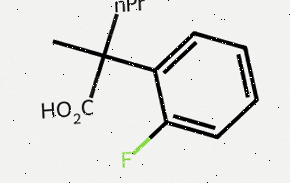 CCCC(C)(C(=O)O)c1ccccc1F